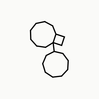 C1CCCCC(C23CCCCCCCC2CC3)CCC1